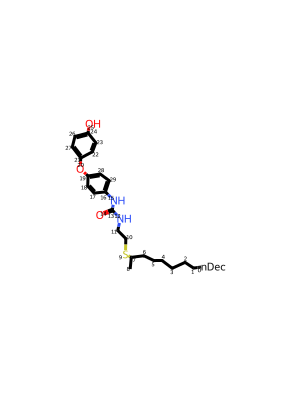 CCCCCCCCCCCCCCCCC(C)SCCNC(=O)Nc1ccc(Oc2ccc(O)cc2)cc1